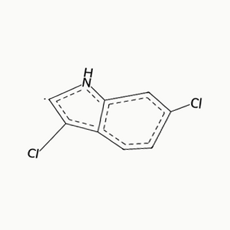 Clc1ccc2c(Cl)[c][nH]c2c1